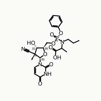 CCCN(C(C)C(=O)O)[P@@](=O)(OC[C@H]1O[C@@H](n2ccc(=O)[nH]c2=O)[C@](C)(C#N)[C@@H]1O)Oc1ccccc1